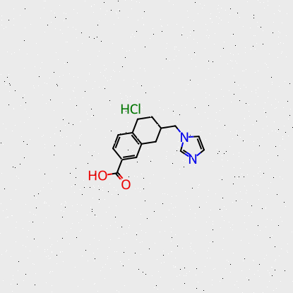 Cl.O=C(O)c1ccc2c(c1)CC(Cn1ccnc1)CC2